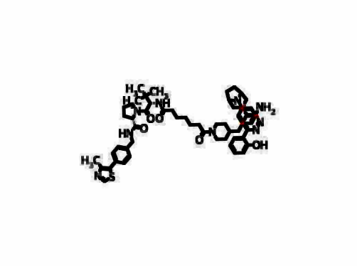 Cc1ncsc1-c1ccc(CNC(=O)[C@@H]2CCCN2C(=O)[C@@H](NC(=O)CCCCCC(=O)N2CCC(Cc3cccc(N4C5CCC4CN(c4cc(-c6ccccc6O)nnc4N)C5)c3)CC2)C(C)(C)C)cc1